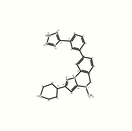 CN1Cc2ccc(-c3cccc(-c4nn[nH]n4)c3)cc2-n2nc(C3CCOCC3)cc21